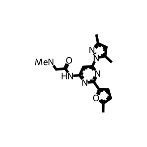 CNCC(=O)Nc1cc(-n2nc(C)cc2C)nc(-c2ccc(C)o2)n1